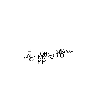 CNC(=O)n1ccc2cc(Oc3ccnc(NC(=O)NCCCC(=O)NC4CC4)c3)ccc21